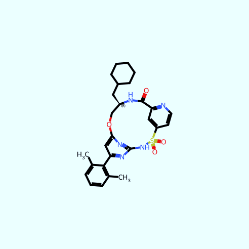 Cc1cccc(C)c1-c1cc2nc(n1)NS(=O)(=O)c1ccnc(c1)C(=O)N[C@H](CC1CCCCC1)CO2